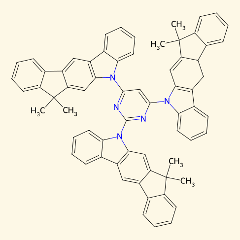 CC1(C)C2=Cc3c(c4ccccc4n3-c3cc(-n4c5ccccc5c5cc6c(cc54)C(C)(C)c4ccccc4-6)nc(-n4c5ccccc5c5cc6c(cc54)C(C)(C)c4ccccc4-6)n3)CC2c2ccccc21